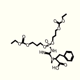 CCOC(=O)OCCCOP(=O)(NC(=N)N(C)C(Cc1ccccc1)C(=O)O)OCCCOC(=O)OCC